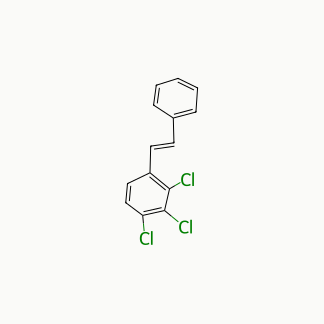 Clc1ccc(C=Cc2ccccc2)c(Cl)c1Cl